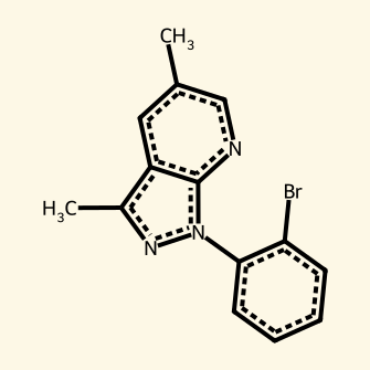 Cc1cnc2c(c1)c(C)nn2-c1ccccc1Br